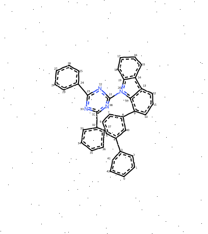 c1ccc(-c2cccc(-c3cccc4c5ccccc5n(-c5nc(-c6ccccc6)nc(-c6ccccc6)n5)c34)c2)cc1